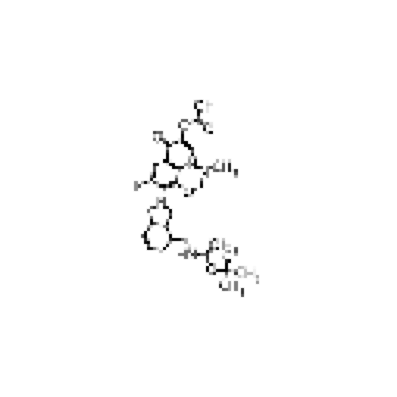 CN1COc2c(N3CC4C=CCC(CNC(=O)OC(C)(C)C)C4C3)c(F)cc3c(=O)c(OC(=O)O)cn1c23